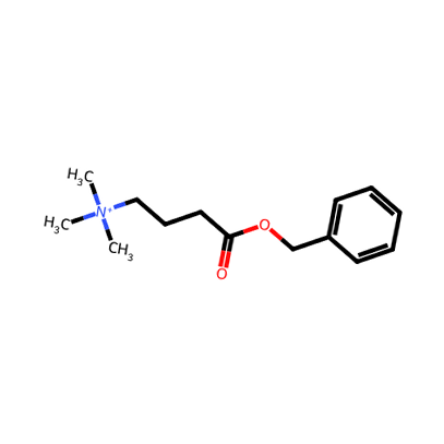 C[N+](C)(C)CCCC(=O)OCc1ccccc1